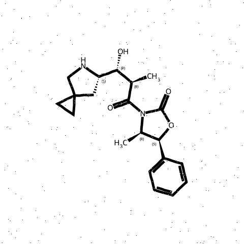 C[C@@H]1[C@H](c2ccccc2)OC(=O)N1C(=O)[C@H](C)[C@@H](O)[C@@H]1CC2(CC2)CN1